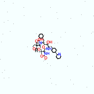 COC(=O)N[C@H](C(=O)N[C@@H](Cc1ccc(-c2ccccn2)cc1)[C@@H](O)C[C@H](Cc1ccccc1)N(C(=O)O)[C@H]1CO[C@@H]2OCC[C@@H]21)C(C)(C)C